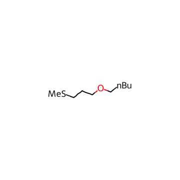 CCCCCOCCCSC